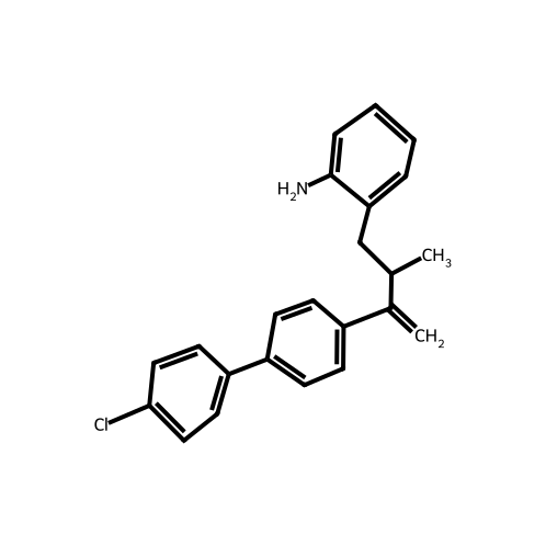 C=C(c1ccc(-c2ccc(Cl)cc2)cc1)C(C)Cc1ccccc1N